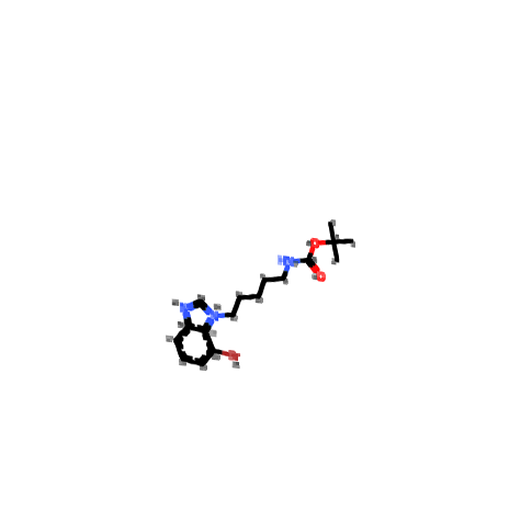 CC(C)(C)OC(=O)NCCCCCn1cnc2cccc(Br)c21